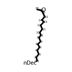 CCCCCCCCCCCCCCCCCCCCCCCCCC1OC1C